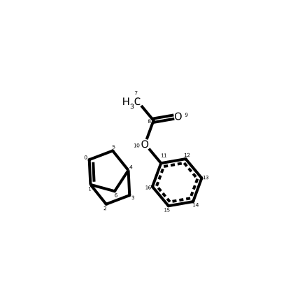 C1=C2CCC(C1)C2.CC(=O)Oc1ccccc1